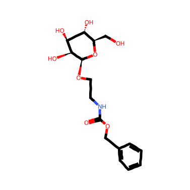 O=C(NCCO[C@@H]1O[C@H](CO)[C@@H](O)[C@H](O)[C@@H]1O)OCc1ccccc1